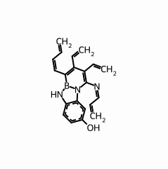 C=C/C=C\C1=C(C=C)C(C=C)=C(/N=C\C=C)N2B1Nc1ccc(O)cc12